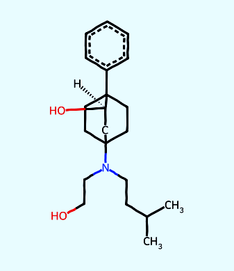 CC(C)CCN(CCO)C12CCC(c3ccccc3)(CC1)[C@H](O)C2